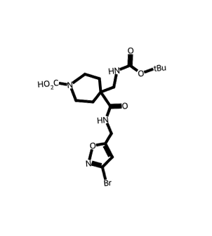 CC(C)(C)OC(=O)NCC1(C(=O)NCc2cc(Br)no2)CCN(C(=O)O)CC1